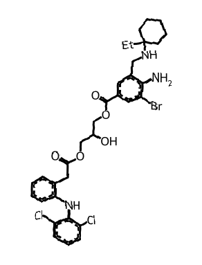 CCC1(NCc2cc(C(=O)OCC(O)COC(=O)Cc3ccccc3Nc3c(Cl)cccc3Cl)cc(Br)c2N)CCCCC1